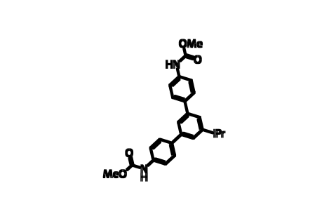 COC(=O)Nc1ccc(-c2cc(-c3ccc(NC(=O)OC)cc3)cc(C(C)C)c2)cc1